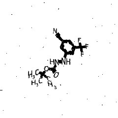 CC(C)(C)OC(=O)NNc1cc(C#N)cc(C(F)(F)F)c1